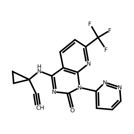 C#CC1(Nc2nc(=O)n(-c3cccnn3)c3nc(C(F)(F)F)ccc23)CC1